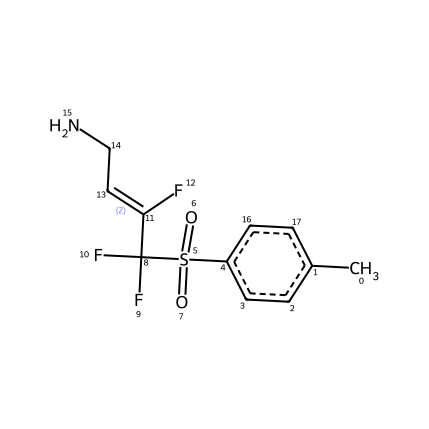 Cc1ccc(S(=O)(=O)C(F)(F)/C(F)=C/CN)cc1